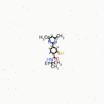 CCC(C)(C)NC(=O)c1ccc(-c2nc(C)cc(C)n2)cc1S